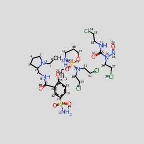 CCN1CCCC1CNC(=O)c1cc(S(N)(=O)=O)ccc1OC.O=NN(CCCl)C(=O)NCCCl.O=P1(N(CCCl)CCCl)NCCCO1